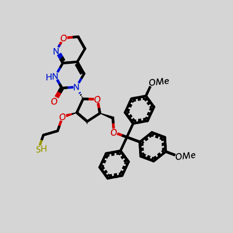 COc1ccc(C(OC[C@H]2[CH][C@@H](OCCS)[C@H](N3C=C4CCON=C4NC3=O)O2)(c2ccccc2)c2ccc(OC)cc2)cc1